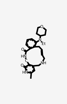 CCN(c1cccc2c1C/C=C/CNCc1cc(C)[nH]c(=O)c1CNC2=O)C1CCOCC1